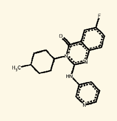 CC1CCC(n2c(Nc3cccnc3)nc3ccc(F)cc3c2=O)CC1